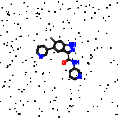 Cc1cc2[nH]nc(C(=O)Nc3cccnc3)c2cc1-c1cccnc1